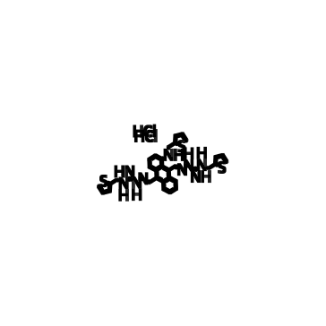 Cl.Cl.N=C(NCc1cccs1)NN=Cc1c2ccccc2c(C=NNC(=N)NCc2cccs2)c2c(NCc3cccs3)cccc12